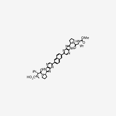 COC(=O)N[C@@H](C(=O)N1CCCC1c1nc2nc(-c3ccc4cc(-c5cnc6[nH]c([C@H]7CCCN7C(=O)[C@H](C(C)C)N(C)C(=O)O)nc6n5)ccc4c3)cnc2[nH]1)C(C)C